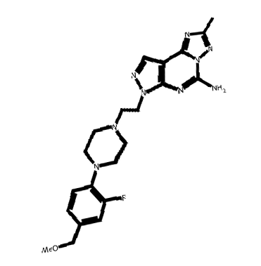 COCc1ccc(N2CCN(CCn3ncc4c3nc(N)n3nc(C)nc43)CC2)c(F)c1